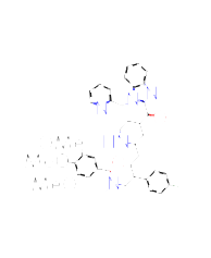 COc1cc(C(=O)N(C)CC(CCC2CC(C(=O)c3nc4ccccc4n3Cc3ccccn3)CCN2)c2ccc(F)cc2)cc(OC)c1OC